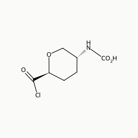 O=C(O)N[C@@H]1CC[C@@H](C(=O)Cl)OC1